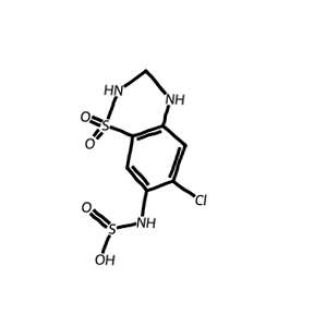 O=S(O)Nc1cc2c(cc1Cl)NCNS2(=O)=O